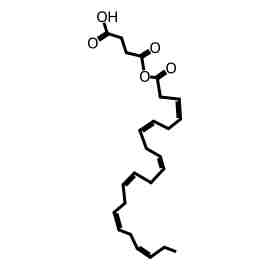 CC/C=C\C/C=C\C/C=C\C/C=C\C/C=C\C/C=C\CC(=O)OC(=O)CCC(=O)O